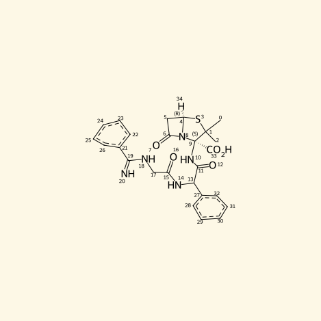 CC1(C)S[C@@H]2CC(=O)N2[C@@]1(NC(=O)C(NC(=O)CNC(=N)c1ccccc1)c1ccccc1)C(=O)O